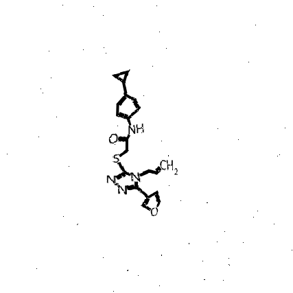 C=CCn1c(SCC(=O)Nc2ccc(C3CC3)cc2)nnc1-c1ccoc1